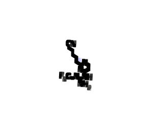 N#CCCC/C=C/c1nccc(NC(N)=NCC(F)(F)F)n1